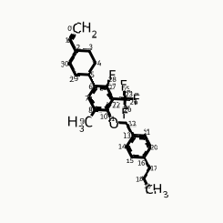 C=CC1CCC(c2cc(C)c(OCc3ccc(CCC)cc3)c(C(F)(F)F)c2F)CC1